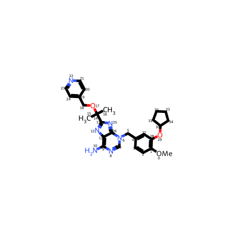 COc1ccc(Cn2cnc(N)c3nc(C(C)(C)OCc4ccncc4)nc2-3)cc1OC1CCCC1